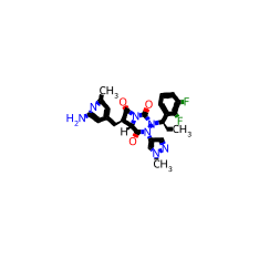 CC[C@H](c1cccc(F)c1F)N1C(=O)N2C(=O)[C@H](Cc3cc(C)nc(N)c3)[C@H]2C(=O)N1c1cnn(C)c1